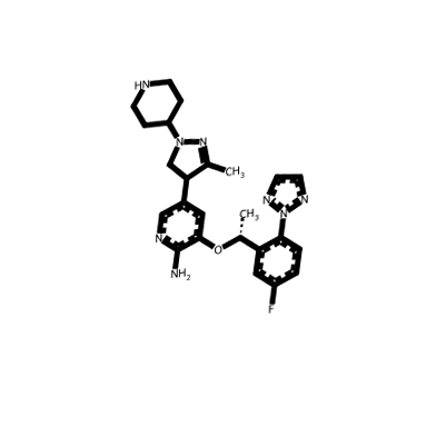 CC1=NN(C2CCNCC2)CC1c1cnc(N)c(O[C@H](C)c2cc(F)ccc2-n2nccn2)c1